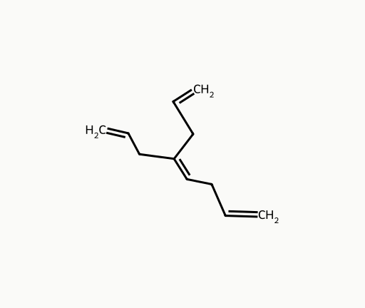 C=CCC=C(CC=C)CC=C